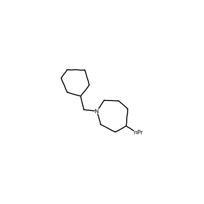 CCCC1CCCN(CC2CCCCC2)CC1